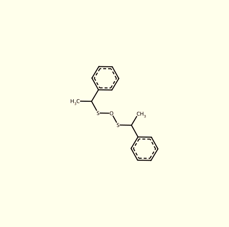 CC(SOSC(C)c1ccccc1)c1ccccc1